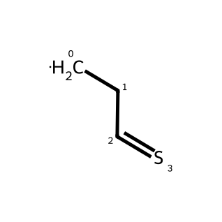 [CH2]CC=S